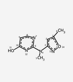 Cc1cc(N(C)c2nccc(O)n2)no1